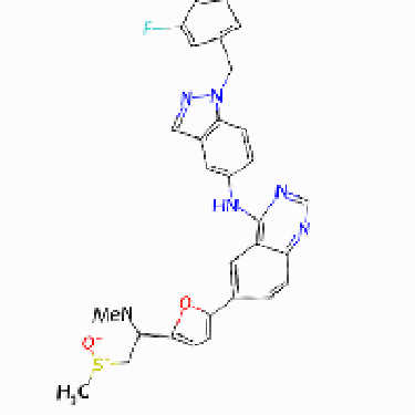 CNC(C[S+](C)[O-])c1ccc(-c2ccc3ncnc(Nc4ccc5c(cnn5Cc5cccc(F)c5)c4)c3c2)o1